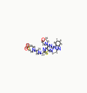 CCc1nc2ccccc2n1-c1nc(N2CCOCC2)c2nc(CN3CC(N4CCS(=O)(=O)CC4)C3)sc2n1